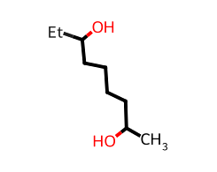 CCC(O)CCCCC(C)O